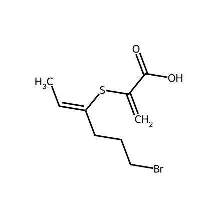 C=C(S/C(=C\C)CCCBr)C(=O)O